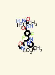 Cc1ccn2c(C[C@H]3CN(C(=O)O)CCO3)c(-c3c(F)cc(C(=O)NC(C)(C)C(N)=O)cc3F)nc2c1